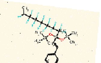 CC(F)C(F)(F)C(F)(F)C(F)(F)C(F)(F)C(F)(F)C(F)(F)[Si](C=Cc1ccccc1)(O[Si](C)(C)C)O[Si](C)(C)C